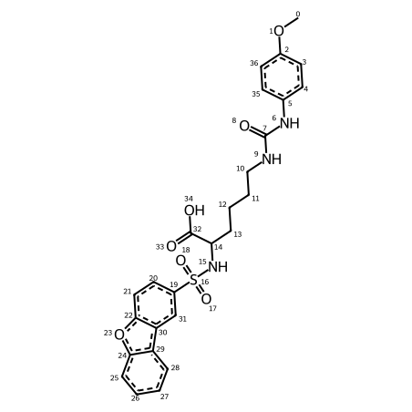 COc1ccc(NC(=O)NCCCCC(NS(=O)(=O)c2ccc3oc4ccccc4c3c2)C(=O)O)cc1